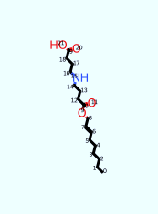 CCCCCCC=CCOC(=O)CCCNCCCC(=O)O